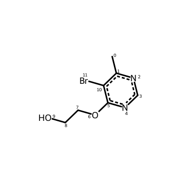 Cc1ncnc(OCCO)c1Br